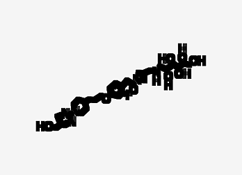 O=C(Cc1ccc(OCCCC2CCN(c3ncc(CO)cn3)CC2)cc1F)N1CC(CNC[C@H](O)[C@@H](O)[C@H](O)C(O)CO)C1